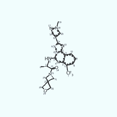 C[C@@H](Nc1nc2c(C(F)(F)F)cccc2c2nc(-c3cnn(C)c3)nn12)C(=O)N1CC2(COC2)C1